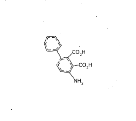 Nc1ccc(-c2ccccc2)c(C(=O)O)c1C(=O)O